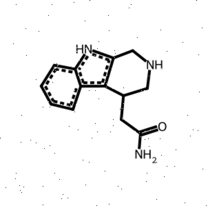 NC(=O)CC1CNCc2[nH]c3ccccc3c21